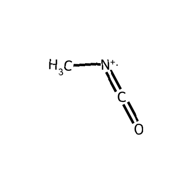 C[N+]=C=O